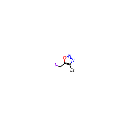 CCc1nnoc1CI